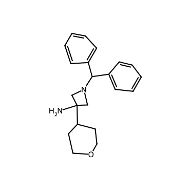 NC1(C2CCOCC2)CN(C(c2ccccc2)c2ccccc2)C1